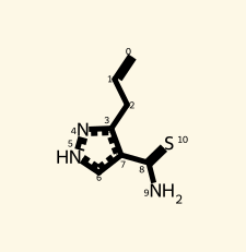 C=CCc1n[nH]cc1C(N)=S